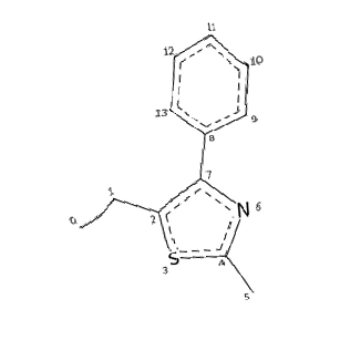 CCc1sc(C)nc1-c1ccccc1